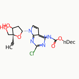 C#C[C@]1(CO)O[C@@H](n2ccc3c(NC(=O)OCCCCCCCCCC)nc(Cl)nc32)C[C@@H]1O